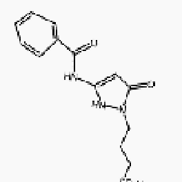 O=C(Nc1cc(=O)n(CCCS(=O)(=O)O)[nH]1)c1ccccc1